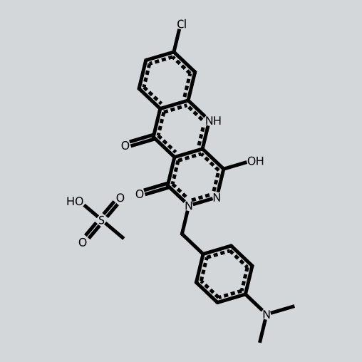 CN(C)c1ccc(Cn2nc(O)c3[nH]c4cc(Cl)ccc4c(=O)c3c2=O)cc1.CS(=O)(=O)O